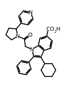 O=C(O)c1ccc2c(C3CCCCC3)c(-c3ccccc3)n(CC(=O)N3CCCC3c3ccncc3)c2c1